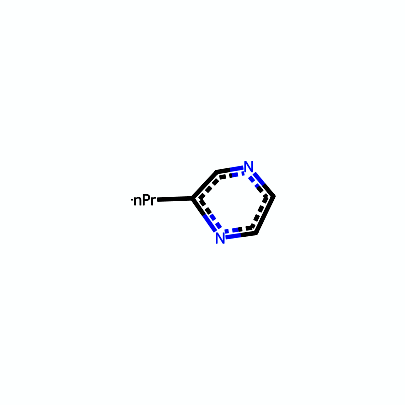 CC[CH]c1cnccn1